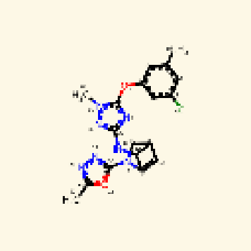 Cc1cc(Cl)cc(Oc2nc(NC3C4=CC3CN4c3nnc(C)o3)nn2C)c1